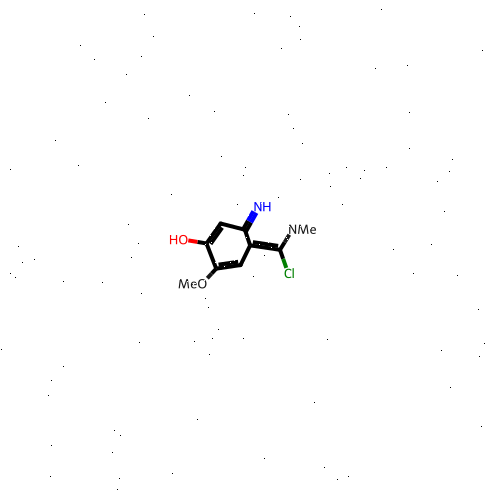 CN/C(Cl)=C1/C=C(OC)C(O)=CC1=N